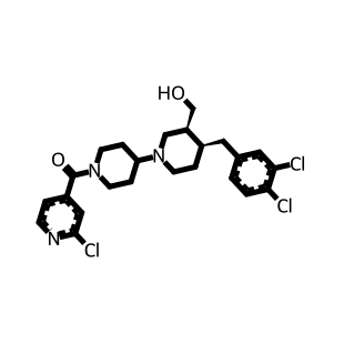 O=C(c1ccnc(Cl)c1)N1CCC(N2CC[C@H](Cc3ccc(Cl)c(Cl)c3)[C@H](CO)C2)CC1